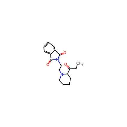 CCC(=O)C1CCCCN1CCN1C(=O)c2ccccc2C1=O